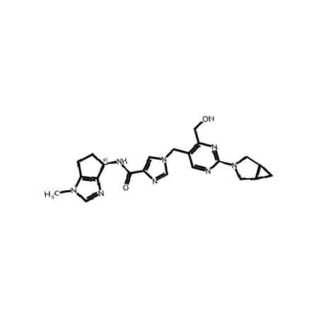 Cn1cnc2c1CC[C@H]2NC(=O)c1cn(Cc2cnc(N3CC4CC4C3)nc2CO)cn1